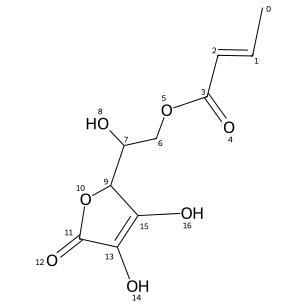 CC=CC(=O)OCC(O)C1OC(=O)C(O)=C1O